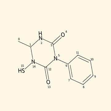 CC1NC(=O)N(c2ccccc2)C(=O)N1S